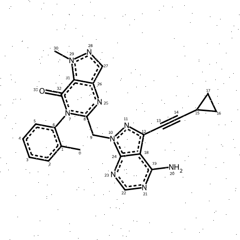 Cc1ccccc1-n1c(Cn2nc(C#CC3CC3)c3c(N)ncnc32)nc2cnn(C)c2c1=O